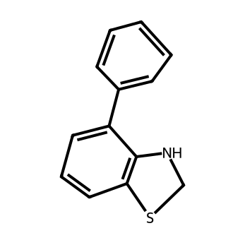 c1ccc(-c2cccc3c2NCS3)cc1